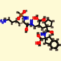 CS(=O)(=O)N[C@@H](CCCCN)C(=O)NCC(CC1(C(=O)NC2(C(=O)O)Cc3ccccc3C2)CCCC1)C(=O)O